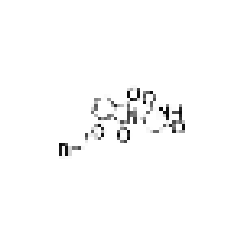 O=C1CCC(N2C(=O)c3cccc(OCCBr)c3C2=O)C(=O)N1